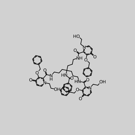 O=C(NC(CCCNC(=O)c1c(OCc2ccccc2)c(=O)ccn1CCO)(CCCNC(=O)c1c(OCc2ccccc2)c(=O)ccn1CCO)CCCNC(=O)c1c(OCc2ccccc2)c(=O)ccn1CCO)c1ccccc1